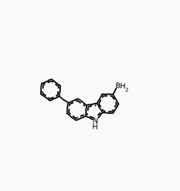 Bc1ccc2[nH]c3ccc(-c4ccccc4)cc3c2c1